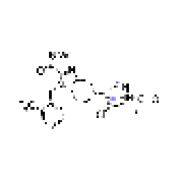 CNC(=O)c1nc2c(n1Cc1ccccc1C(F)(F)F)CCN(C(/C=N\NC=O)=C(/C)Cl)C2